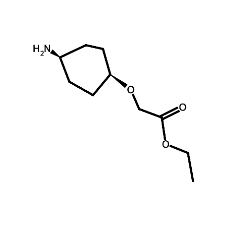 CCOC(=O)CO[C@H]1CC[C@@H](N)CC1